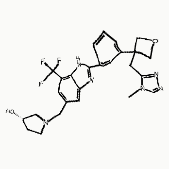 Cn1cnnc1CC1(c2cccc(-c3nc4cc(CN5CC[C@H](O)C5)cc(C(F)(F)F)c4[nH]3)c2)COC1